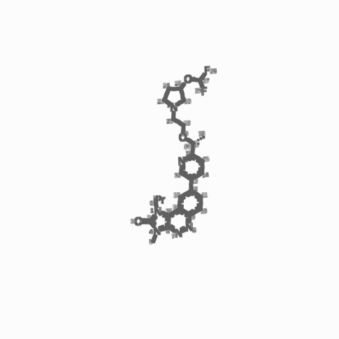 CC(C)n1c(=O)n(C)c2nnc3ccc(-c4ccc([C@@H](C)OCCN5CCC(OC(F)F)C5)nc4)cc3c21